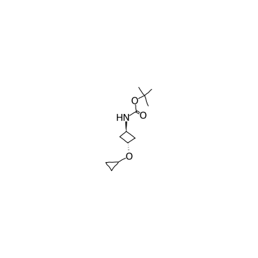 CC(C)(C)OC(=O)N[C@H]1C[C@H](OC2CC2)C1